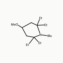 CCC1(CC)CC(OC)CC(CC)(CC)N1C(C)(C)C